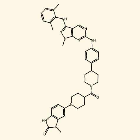 Cc1cccc(C)c1Nc1nn(C)c2nc(Nc3ccc(C4CCN(C(=O)C5CCN(c6ccc7[nH]c(=O)n(C)c7c6)CC5)CC4)cc3)ncc12